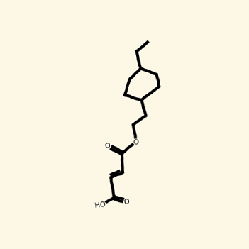 CCC1CCC(CCOC(=O)/C=C/C(=O)O)CC1